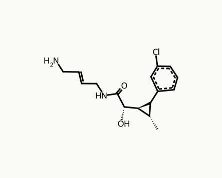 C[C@H]1C(c2cccc(Cl)c2)[C@@H]1[C@H](O)C(=O)NC/C=C/CN